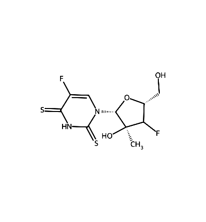 C[C@@]1(O)C(F)[C@@H](CO)O[C@H]1n1cc(F)c(=S)[nH]c1=S